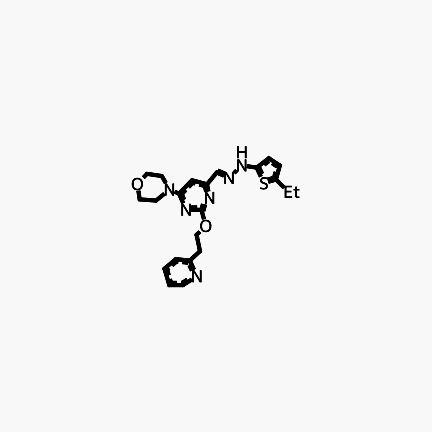 CCc1ccc(NN=Cc2cc(N3CCOCC3)nc(OCCc3ccccn3)n2)s1